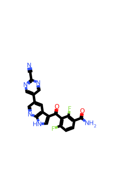 N#Cc1ncc(-c2cnc3[nH]cc(C(=O)c4c(F)ccc(C(N)=O)c4F)c3c2)cn1